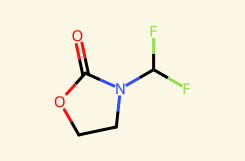 O=C1OCCN1C(F)F